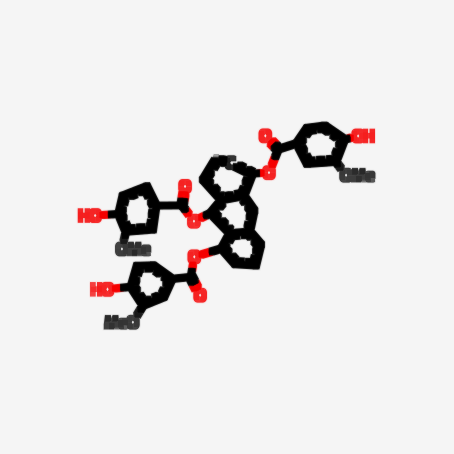 COc1cc(C(=O)Oc2cccc3c(OC(=O)c4ccc(O)c(OC)c4)c4c(OC(=O)c5ccc(O)c(OC)c5)cccc4cc23)ccc1O